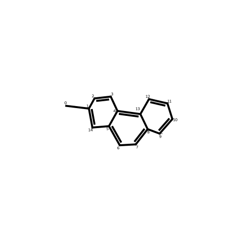 Cc1ccc2c(ccc3[c]cccc32)c1